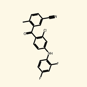 Cc1ccc(C#N)cc1C(=O)c1ccc(Nc2ccc(F)cc2F)cc1Cl